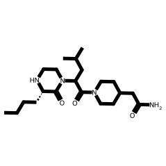 CCCC[C@@H]1NCCN(C(CC(C)C)C(=O)N2CCC(CC(N)=O)CC2)C1=O